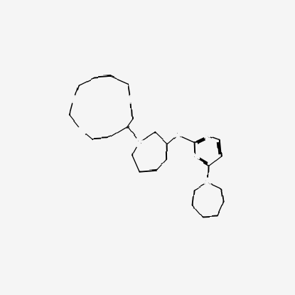 c1cc(N2CCCCCC2)nc(NC2CCCCN(C3CCCCCCCCCCC3)C2)n1